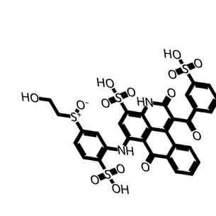 O=C(c1cccc(S(=O)(=O)O)c1)c1c2c3c(c(Nc4cc([S+]([O-])CCO)ccc4S(=O)(=O)O)cc(S(=O)(=O)O)c3[nH]c1=O)C(=O)c1ccccc1-2